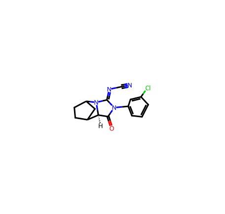 N#C/N=C1\N(c2cccc(Cl)c2)C(=O)[C@H]2C3CCC(C3)N12